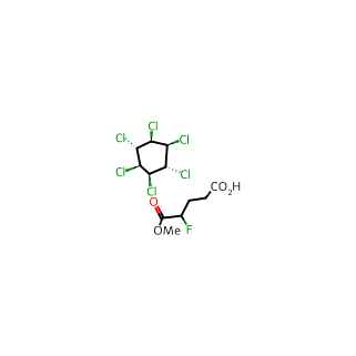 COC(=O)C(F)CCC(=O)O.Cl[C@H]1[C@H](Cl)[C@@H](Cl)[C@@H](Cl)[C@H](Cl)[C@H]1Cl